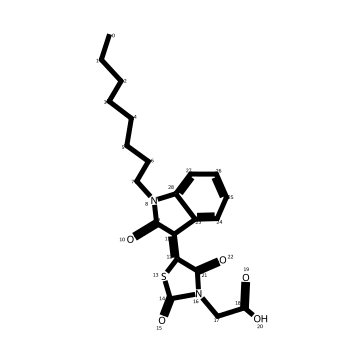 CCCCCCCCN1C(=O)/C(=C2\SC(=O)N(CC(=O)O)C2=O)c2ccccc21